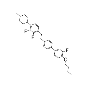 CCCCOc1ccc(-c2ccc(CCc3ccc(C4CCC(C)CC4)c(F)c3F)cc2)cc1F